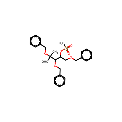 CC(C=O)(OCc1ccccc1)C(OCc1ccccc1)C(COCc1ccccc1)OS(C)(=O)=O